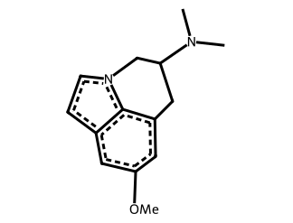 COc1cc2c3c(ccn3CC(N(C)C)C2)c1